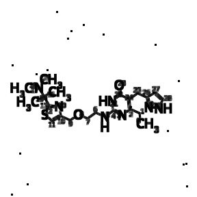 CCc1nc(NCCOCc2csc(C(C)(C)N(C)C)n2)[nH]c(=O)c1Cc1cc[nH]n1